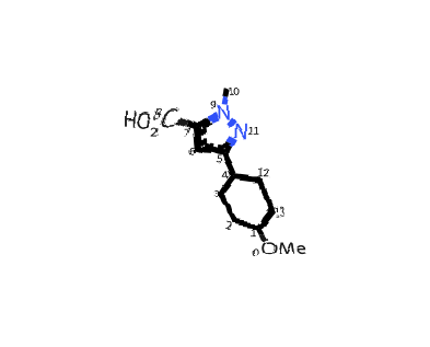 COC1CCC(c2cc(C(=O)O)n(C)n2)CC1